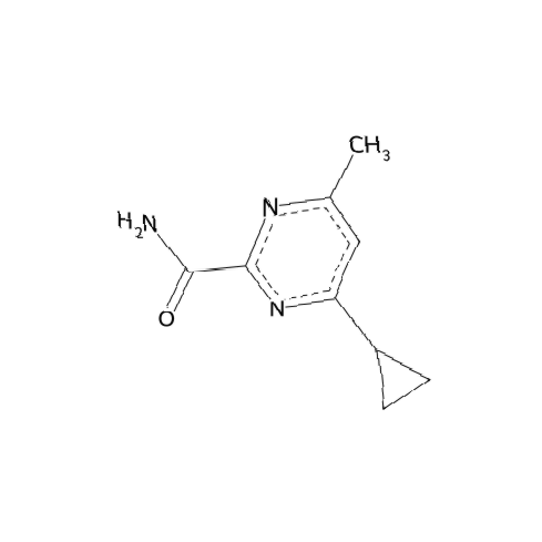 Cc1cc(C2CC2)nc(C(N)=O)n1